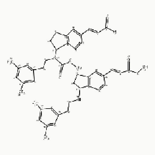 CCC(=O)C=Cc1ccc2c(c1)CCC2N(CCc1cc(C(F)(F)F)cc(C(F)(F)F)c1)C(=O)OC(C)(C)C.O=C(C=Cc1ccc2c(c1)CCC2NCCc1cc(C(F)(F)F)cc(C(F)(F)F)c1)CO